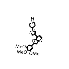 COc1cc(-c2cc3nccc(-c4cnn(C5CCNCC5)c4)c3o2)cc(OC)c1OC